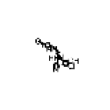 COCCN1CCC(CNCC(C)(C)c2nc(-c3ccc(Cl)c(O)c3)c(-c3ccncc3)[nH]2)CC1